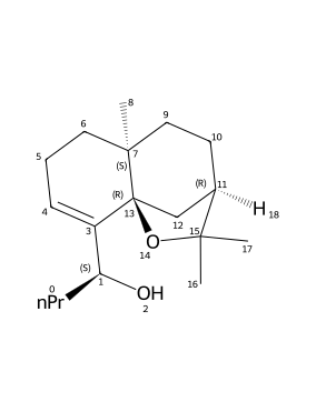 CCC[C@H](O)C1=CCC[C@@]2(C)CC[C@@H]3C[C@]12OC3(C)C